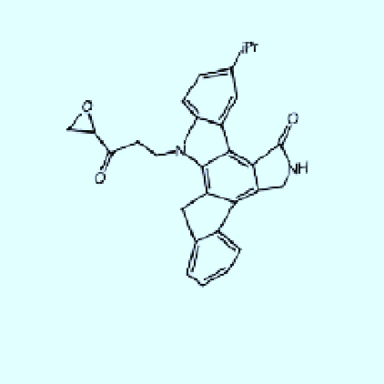 CC(C)c1ccc2c(c1)c1c3c(c4c(c1n2CCC(=O)C1CO1)Cc1ccccc1-4)CNC3=O